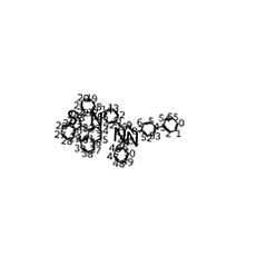 c1ccc(-c2ccc(-c3cc(-c4cccc(N5c6ccccc6-c6sc7ccccc7c6-c6c5ccc5ccccc65)c4)nc(-c4ccccc4)n3)cc2)cc1